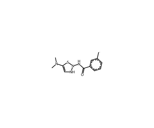 [CH2]c1cccc(C(=O)NN2NC=C(N(C)C)S2)c1